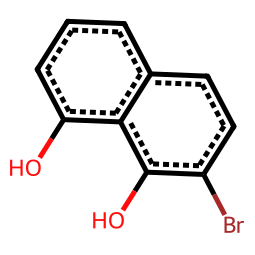 Oc1cccc2ccc(Br)c(O)c12